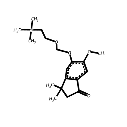 COc1cc2c(cc1OCOCC[Si](C)(C)C)C(C)(C)CC2=O